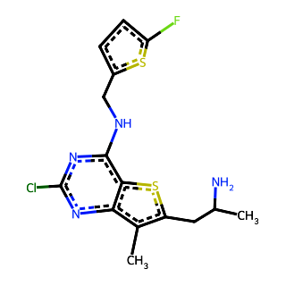 Cc1c(CC(C)N)sc2c(NCc3ccc(F)s3)nc(Cl)nc12